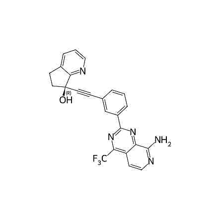 Nc1nccc2c(C(F)(F)F)nc(-c3cccc(C#C[C@]4(O)CCc5cccnc54)c3)nc12